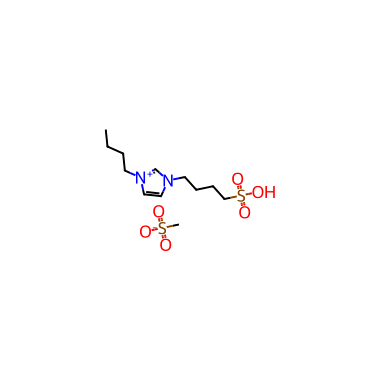 CCCC[n+]1ccn(CCCCS(=O)(=O)O)c1.CS(=O)(=O)[O-]